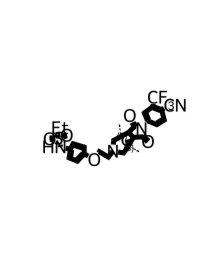 CCS(=O)(=O)Nc1ccc(OCCN2C[C@@]3(C)O[C@@](C)(C2)C2C(=O)N(c4ccc(C#N)c(C(F)(F)F)c4)C(=O)C23)cc1